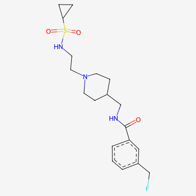 O=C(NCC1CCN(CCNS(=O)(=O)C2CC2)CC1)c1cccc(CF)c1